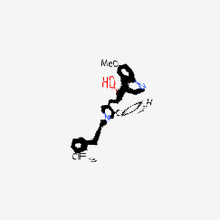 COc1ccc2nccc([C@@H](O)CC[C@@H]3CCN(CCCc4cccc(C(F)(F)F)c4)C[C@@H]3C(=O)O)c2c1